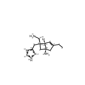 CCC1=C[C@@H]2[C@](N)(C1)C[C@]2(CN)Cc1nn[nH]n1